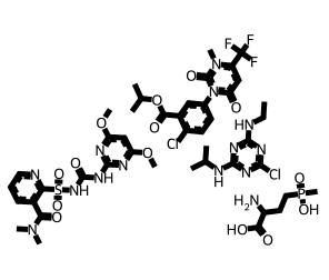 CC(C)OC(=O)c1cc(-n2c(=O)cc(C(F)(F)F)n(C)c2=O)ccc1Cl.CCNc1nc(Cl)nc(NC(C)C)n1.COc1cc(OC)nc(NC(=O)NS(=O)(=O)c2ncccc2C(=O)N(C)C)n1.CP(=O)(O)CCC(N)C(=O)O